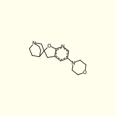 c1nc2c(cc1N1CCOCC1)CC1(CN3CCC1CC3)O2